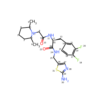 CC1CCCC(C)N1CC(=O)N[C@@H](Cc1ccc(F)c(F)c1)C(=O)NCc1cnc(N)s1